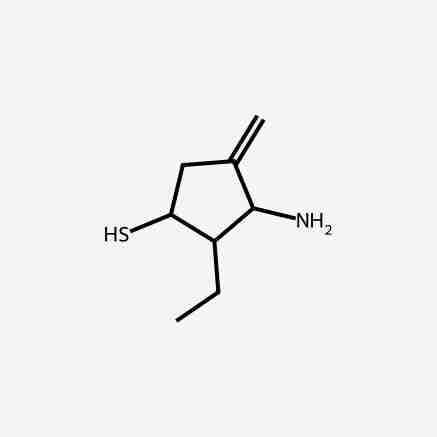 C=C1CC(S)C(CC)C1N